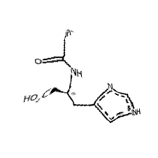 CC(C)C(=O)N[C@@H](Cc1c[nH]cn1)C(=O)O